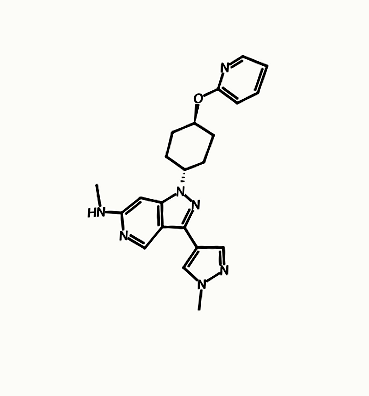 CNc1cc2c(cn1)c(-c1cnn(C)c1)nn2[C@H]1CC[C@H](Oc2ccccn2)CC1